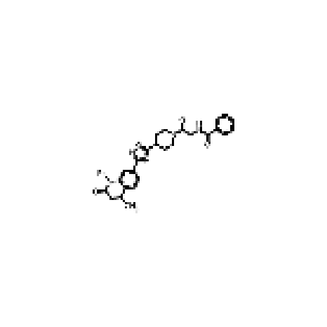 CCN1C(=O)CC(C)c2ccc(-c3noc(C4CCN(C(=O)CNC(=O)c5ccccc5)CC4)n3)cc21